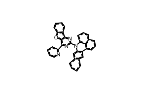 c1ccc(-c2nc(N3c4cc5ccccc5cc4-c4cccc5cccc3c45)nc3c2oc2ccccc23)nc1